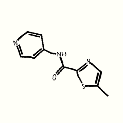 Cc1cnc(C(=O)Nc2ccncc2)s1